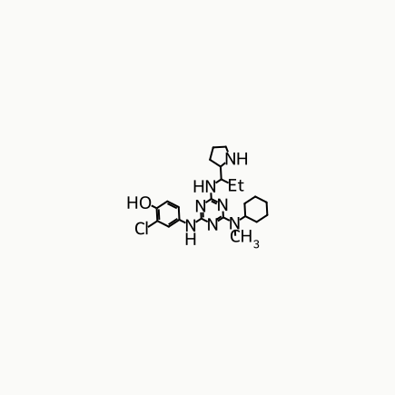 CCC(Nc1nc(Nc2ccc(O)c(Cl)c2)nc(N(C)C2CCCCC2)n1)C1CCCN1